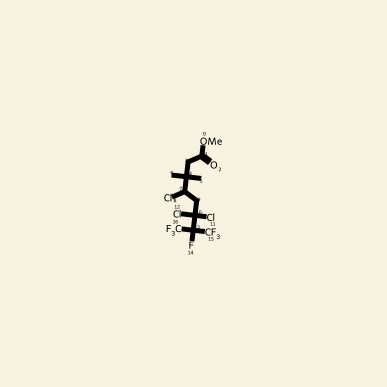 COC(=O)CC(C)(C)C(Cl)CC(Cl)(Cl)C(F)(C(F)(F)F)C(F)(F)F